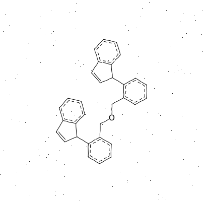 C1=CC(c2ccccc2COCc2ccccc2C2C=Cc3ccccc32)c2ccccc21